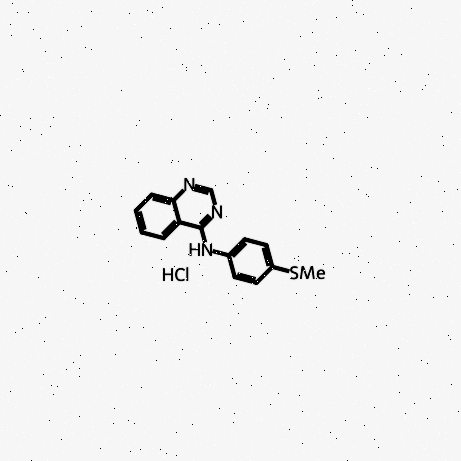 CSc1ccc(Nc2ncnc3ccccc23)cc1.Cl